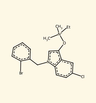 CC[N+](C)(C)Oc1cn(Cc2ccccc2Br)c2ccc(Cl)cc12